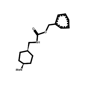 CN[C@H]1CC[C@@H](CNC(=O)OCc2ccccc2)CC1